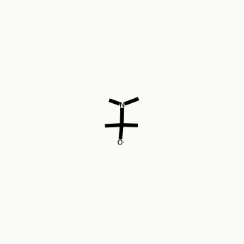 CN(C)C(C)(C)[O]